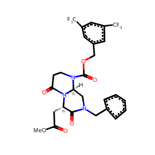 COC(=O)C[C@H]1C(=O)N(Cc2ccccc2)C[C@@H]2N(C(=O)OCc3cc(C(F)(F)F)cc(C(F)(F)F)c3)CCC(=O)N21